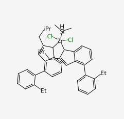 CCc1ccccc1-c1cccc2c1C=C(CC(C)C)[CH]2[Zr]([Cl])([Cl])([CH]1C(CC(C)C)=Cc2c(-c3ccccc3CC)cccc21)[SiH](C)C